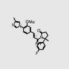 COc1cc(/C=C/C(=N)N2C(=O)CCC2(C)c2ccc(F)cc2)ccc1-n1cnc(C)c1